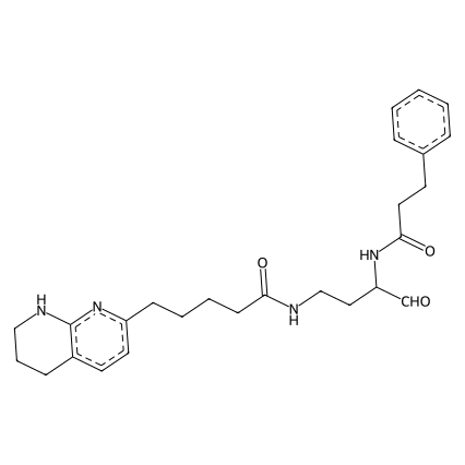 O=CC(CCNC(=O)CCCCc1ccc2c(n1)NCCC2)NC(=O)CCc1ccccc1